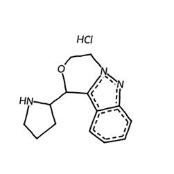 Cl.c1ccc2c3n(nc2c1)CCOC3C1CCCN1